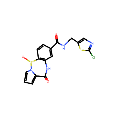 O=C(NCc1cnc(Cl)s1)c1ccc2c(c1)NC(=O)c1cccn1[S+]2[O-]